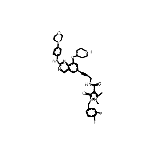 Cc1c(C(=O)NCC#Cc2cc(OC3CCNCC3)c3nc(Nc4ccc(N5CCOCC5)cc4)ncc3c2)c(=O)n(Cc2ccc(F)c(F)c2)n1C